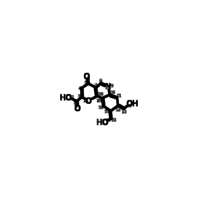 O=C(O)c1cc(=O)c2cnc3cc(=CO)c(=CO)cc3c2o1